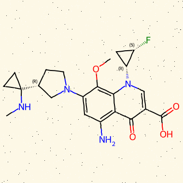 CNC1([C@@H]2CCN(c3cc(N)c4c(=O)c(C(=O)O)cn([C@@H]5C[C@@H]5F)c4c3OC)C2)CC1